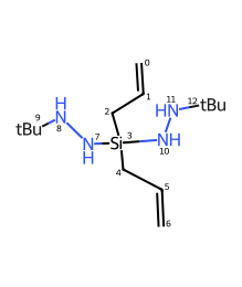 C=CC[Si](CC=C)(NNC(C)(C)C)NNC(C)(C)C